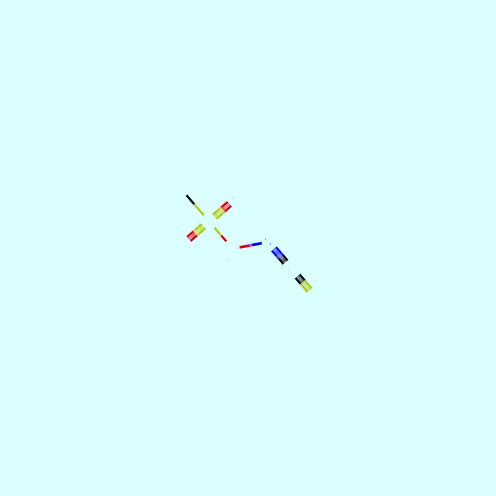 CS(=O)(=O)ON=C=S